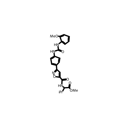 COC(=O)C(NC(=O)c1cc(-c2ccc(NC(=O)Nc3ccccc3OC)cc2)no1)C(C)C